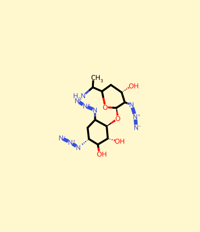 CC(N)C1C[C@H](O)C(N=[N+]=[N-])[C@@H](O[C@@H]2C(N=[N+]=[N-])C[C@@H](N=[N+]=[N-])C(O)[C@H]2O)O1